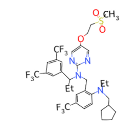 CCC(c1cc(C(F)(F)F)cc(C(F)(F)F)c1)N(Cc1cc(C(F)(F)F)ccc1N(CC)CC1CCCC1)c1ncc(OCCS(C)(=O)=O)cn1